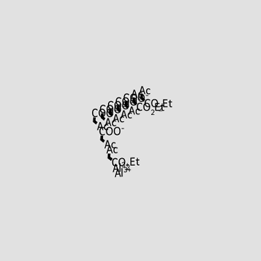 CC(=O)CC(=O)[O-].CC(=O)CC(=O)[O-].CC(=O)CC(=O)[O-].CC(=O)CC(=O)[O-].CC(=O)CC(=O)[O-].CC(=O)CC(=O)[O-].CCOC(=O)CC(C)=O.CCOC(=O)CC(C)=O.CCOC(=O)CC(C)=O.[Al+3].[Al+3]